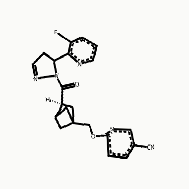 N#Cc1ccc(OCC23CC(C2)[C@@H](C(=O)N2N=CCC2c2ncccc2F)C3)nc1